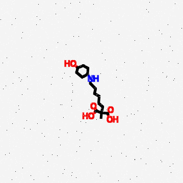 CC(CCCCCCNC1CCC(O)CC1)(C(=O)O)C(=O)O